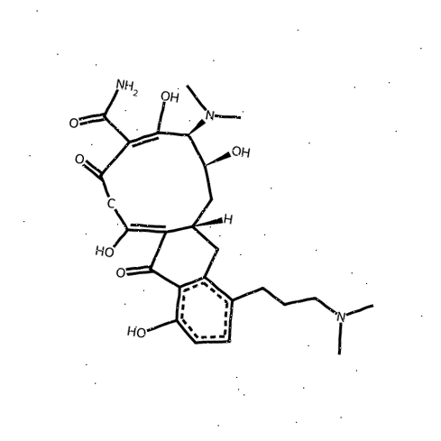 CN(C)CCCc1ccc(O)c2c1C[C@H]1C[C@H](O)[C@H](N(C)C)/C(O)=C(/C(N)=O)C(=O)C/C(O)=C\1C2=O